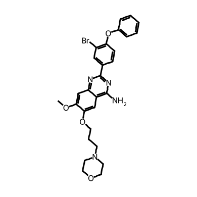 COc1cc2nc(-c3ccc(Oc4ccccc4)c(Br)c3)nc(N)c2cc1OCCCN1CCOCC1